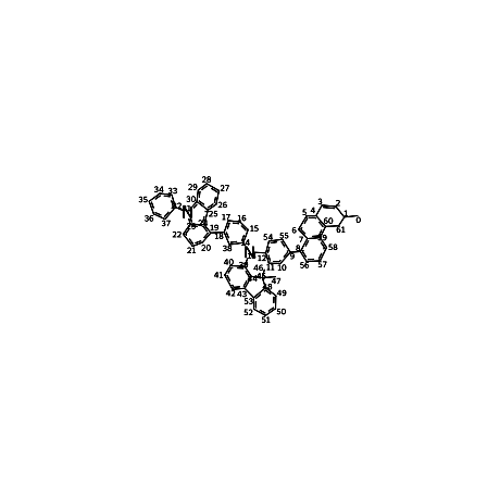 CC1C=Cc2ccc3c(-c4ccc(N(c5cccc(-c6cccc7c6c6ccccc6n7-c6ccccc6)c5)c5cccc6c5C(C)(C)c5ccccc5-6)cc4)cccc3c2C1